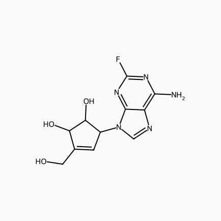 Nc1nc(F)nc2c1ncn2C1C=C(CO)C(O)C1O